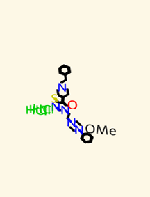 COc1ccccc1N1CCN(CCn2cnc3sc4c(c3c2=O)CCN(CCc2ccccc2)C4)CC1.Cl.Cl.Cl